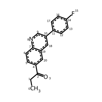 CCC(=O)c1ccc2ncc(-c3ccc(F)cc3)cc2c1